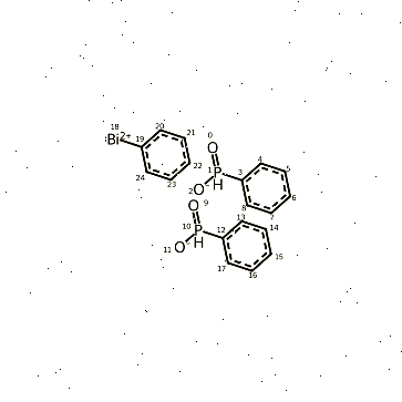 O=[PH]([O-])c1ccccc1.O=[PH]([O-])c1ccccc1.[Bi+2][c]1ccccc1